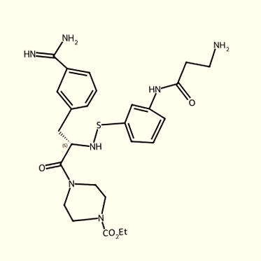 CCOC(=O)N1CCN(C(=O)[C@H](Cc2cccc(C(=N)N)c2)NSc2cccc(NC(=O)CCN)c2)CC1